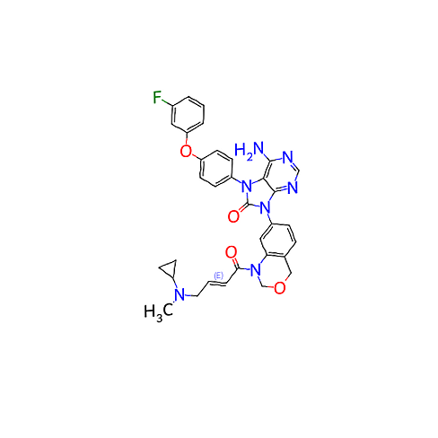 CN(C/C=C/C(=O)N1COCc2ccc(-n3c(=O)n(-c4ccc(Oc5cccc(F)c5)cc4)c4c(N)ncnc43)cc21)C1CC1